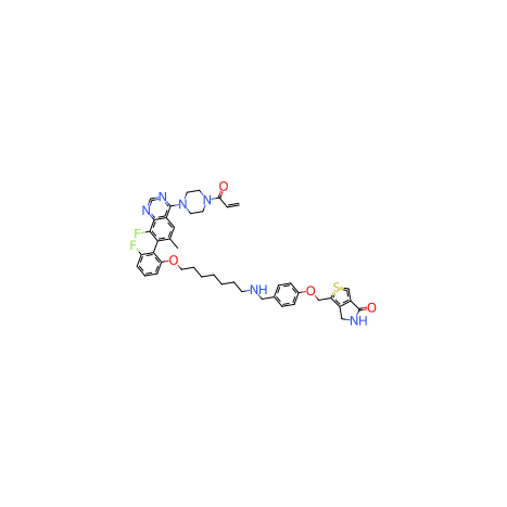 C=CC(=O)N1CCN(c2ncnc3c(F)c(-c4c(F)cccc4OCCCCCCCNCc4ccc(OCc5scc6c5CNC6=O)cc4)c(C)cc23)CC1